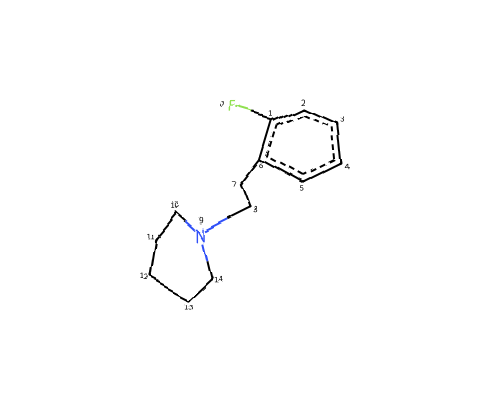 Fc1ccccc1CCN1CCCCC1